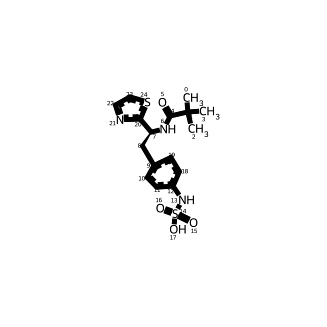 CC(C)(C)C(=O)N[C@@H](Cc1ccc(NS(=O)(=O)O)cc1)c1nccs1